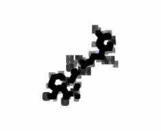 CN(C)C(=O)C1=C(C=O)CCCN1CC(=O)N/C(N)=C/C=C(\N)c1cncc(F)c1